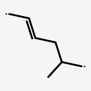 [CH2]C=CCC([CH2])C